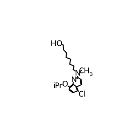 CC(C)Oc1ccc(Cl)c2ccc(N(C)CCCCCCCCO)nc12